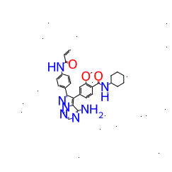 C=CC(=O)Nc1ccc(-c2nn3ncnc(N)c3c2-c2ccc(C(=O)NC3CCCCC3)c(OC)c2)cc1